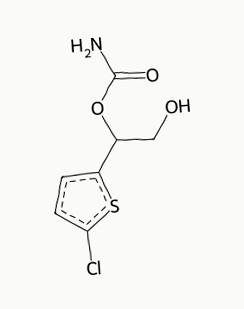 NC(=O)OC(CO)c1ccc(Cl)s1